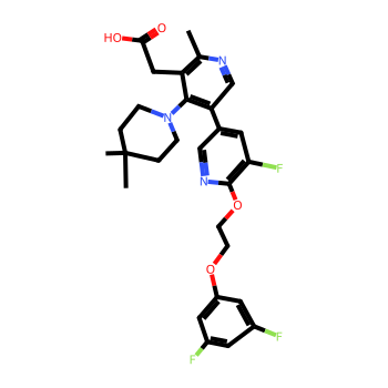 Cc1ncc(-c2cnc(OCCOc3cc(F)cc(F)c3)c(F)c2)c(N2CCC(C)(C)CC2)c1CC(=O)O